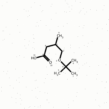 CC(COC(C)(C)C)CC(=O)O